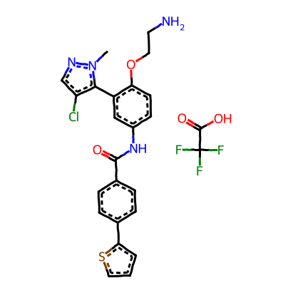 Cn1ncc(Cl)c1-c1cc(NC(=O)c2ccc(-c3cccs3)cc2)ccc1OCCN.O=C(O)C(F)(F)F